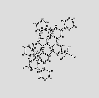 Cc1nc(C)nc(-c2ccc3c4ccccc4n(-c4c(-c5cc(-c6ccccc6)nc(-c6ccccc6)n5)cc(C(F)(F)F)cc4-c4cc(-c5ccccc5)nc(-c5ccccc5)n4)c3c2)n1